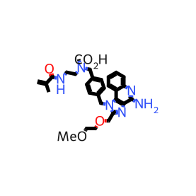 C=C(C)C(=O)NCCN(Cc1ccc(Cn2c(COCCOC)nc3c(N)nc4ccccc4c32)cc1)C(=O)O